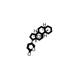 C[C@]12CCCC[C@H]1CC[C@@H]1[C@@H]2CC[C@]2(C)[C@@H](c3ccc(=O)oc3)CC[C@]12O